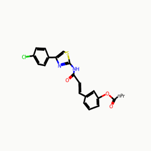 CCCC(=O)Oc1cccc(C=CC(=O)Nc2nc(-c3ccc(Cl)cc3)cs2)c1